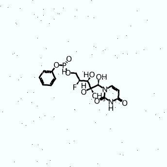 C[C@@](O)([C@H](O)[C@@H](F)CO[PH](=O)Oc1ccccc1)[C@@H](O)n1ccc(=O)[nH]c1=O